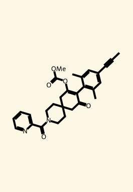 CC#Cc1cc(C)c(C2=C(OC(=O)OC)CC3(CCN(C(=O)c4ccccn4)CC3)CC2=O)c(C)c1